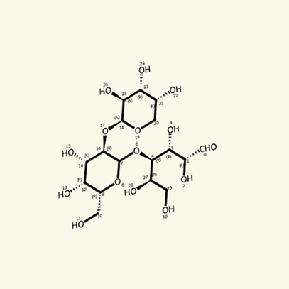 O=C[C@H](O)[C@@H](O)[C@H](OC1O[C@H](CO)[C@H](O)[C@H](O)[C@H]1O[C@@H]1OC[C@@H](O)[C@@H](O)[C@@H]1O)[C@H](O)CO